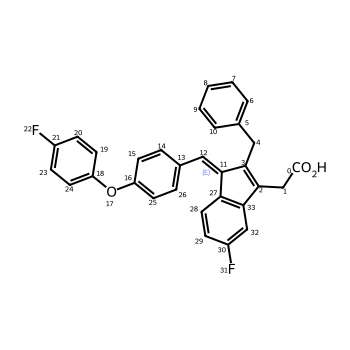 O=C(O)CC1=C(Cc2ccccc2)/C(=C/c2ccc(Oc3ccc(F)cc3)cc2)c2ccc(F)cc21